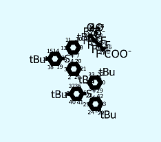 CC(C)(C)c1ccc([S+](c2ccc(C(C)(C)C)cc2)c2ccc(C(C)(C)C)cc2)cc1.CC(C)(C)c1ccc([S+](c2ccc(C(C)(C)C)cc2)c2ccc(C(C)(C)C)cc2)cc1.O=C([O-])C(F)(F)C(F)(F)C(F)(F)C(F)(F)S(=O)(=O)[O-]